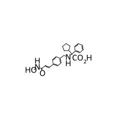 O=C(C=Cc1ccc(CN[C@@](C(=O)O)(c2ccccc2)C2CCCC2)cc1)NO